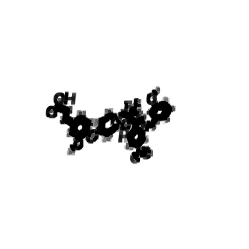 COc1cccc(Cn2cc(C(O)(CN3CCC(Oc4ccc(CCC(=O)O)cc4OC)CC3)C(F)(F)F)c3ccc([N+](=O)[O-])cc32)c1